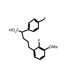 COc1cccc(CCCC(C(=O)O)c2ccc(F)cc2)c1F